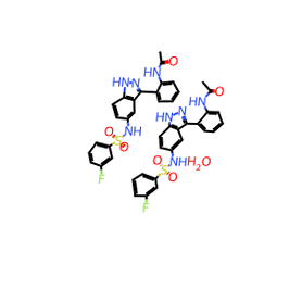 CC(=O)Nc1ccccc1-c1n[nH]c2ccc(NS(=O)(=O)c3cccc(F)c3)cc12.CC(=O)Nc1ccccc1-c1n[nH]c2ccc(NS(=O)(=O)c3cccc(F)c3)cc12.O